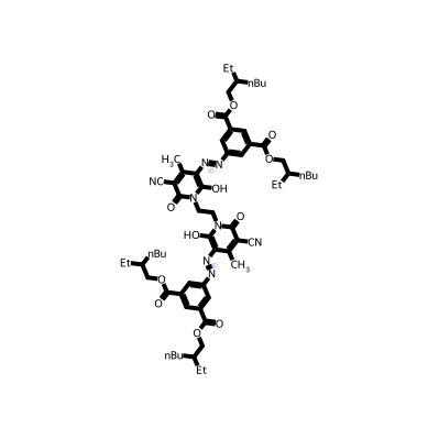 CCCCC(CC)COC(=O)c1cc(/N=N/c2c(C)c(C#N)c(=O)n(CCn3c(O)c(/N=N/c4cc(C(=O)OCC(CC)CCCC)cc(C(=O)OCC(CC)CCCC)c4)c(C)c(C#N)c3=O)c2O)cc(C(=O)OCC(CC)CCCC)c1